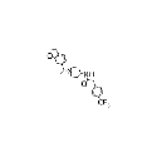 CC(c1ccc2c(c1)OCC2)N1CCC(NC(=O)Cc2ccc(C(F)(F)F)cc2)CC1